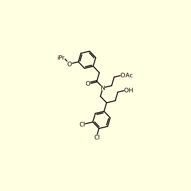 CC(=O)OCCN(CC(CCO)c1ccc(Cl)c(Cl)c1)C(=O)Cc1cccc(OC(C)C)c1